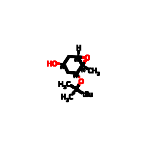 CC(C)(C)[Si](C)(C)O[C@@H]1C[C@@H](O)C[C@@H]2O[C@@]21C